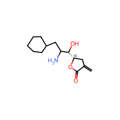 C=C1C[C@@H](C(O)C(N)CC2CCCCC2)OC1=O